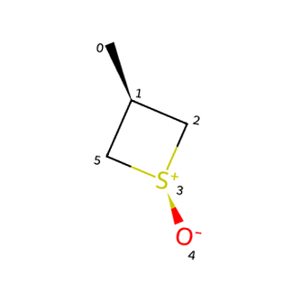 C[C@H]1C[S@@+]([O-])C1